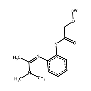 CCCOCC(=O)Nc1ccccc1N=C(C)N(C)C